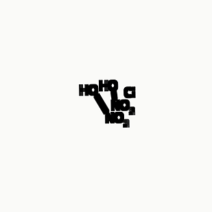 O=[N+]([O-])O.O=[N+]([O-])O.[C]